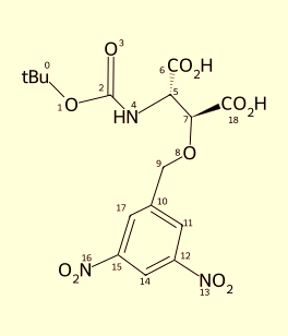 CC(C)(C)OC(=O)N[C@H](C(=O)O)[C@H](OCc1cc([N+](=O)[O-])cc([N+](=O)[O-])c1)C(=O)O